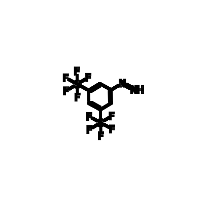 N=Nc1cc(S(F)(F)(F)(F)F)cc(S(F)(F)(F)(F)F)c1